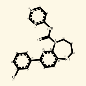 O=C(Nc1ccncn1)N1CCCNc2ccc(-c3cccc(Cl)c3)nc21